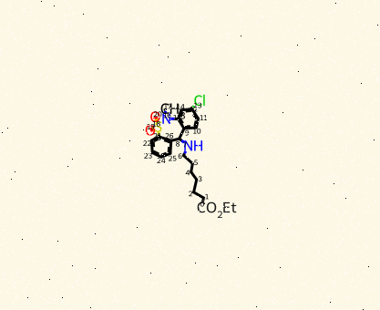 CCOC(=O)CCCCCCNC1c2ccc(Cl)cc2N(C)S(=O)(=O)c2ccccc21